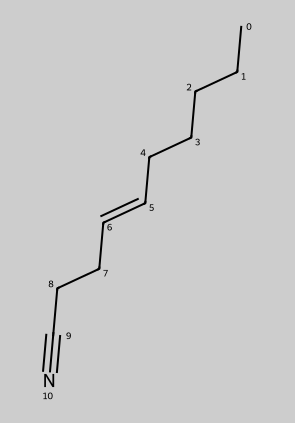 CCCCC/C=C/CCC#N